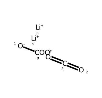 O=C([O-])[O-].O=C=O.[Li+].[Li+]